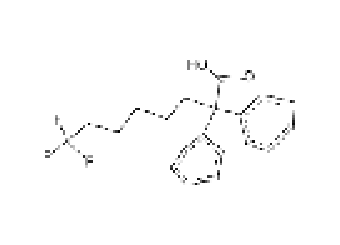 O=C(O)C(CCCCCC(F)(F)F)(c1ccccc1)c1ccccc1